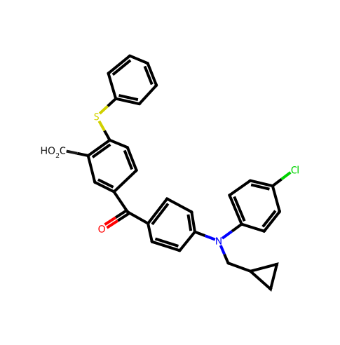 O=C(c1ccc(N(CC2CC2)c2ccc(Cl)cc2)cc1)c1ccc(Sc2ccccc2)c(C(=O)O)c1